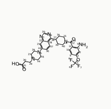 Nc1cc(OC(F)(F)F)ccc1C(=O)N1CCC(c2ncnc3cc(N4CCN(CCC(=O)O)CC4)ccc23)CC1